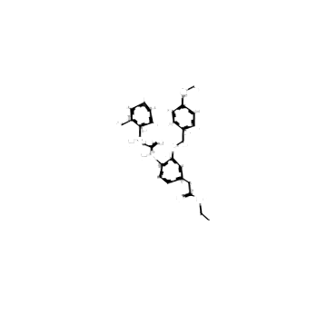 CCOC(=O)Cc1ccc(NC(=S)Nc2ccccc2C)c(SCc2ccc(OC)cc2)c1